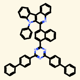 c1ccc(-c2ccc(-c3nc(-c4ccc(-c5ccccc5)cc4)nc(-c4ccc(-c5nc6ccccc6c6c7ccccc7n(-c7ccccc7)c56)c5ccccc45)n3)cc2)cc1